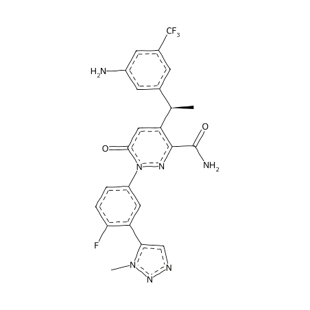 C[C@H](c1cc(N)cc(C(F)(F)F)c1)c1cc(=O)n(-c2ccc(F)c(-c3cnnn3C)c2)nc1C(N)=O